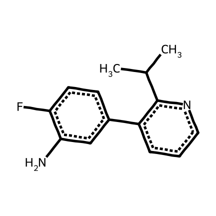 CC(C)c1ncccc1-c1ccc(F)c(N)c1